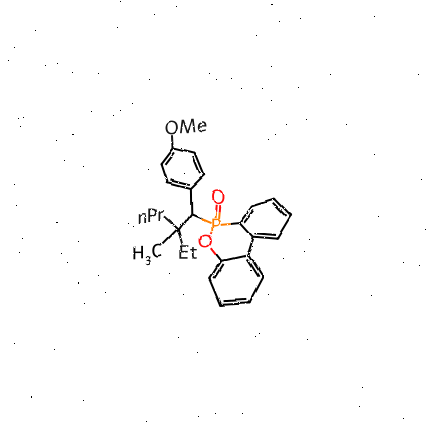 CCCC(C)(CC)C(c1ccc(OC)cc1)P1(=O)Oc2ccccc2-c2ccccc21